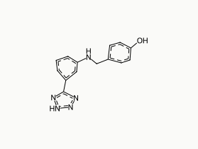 Oc1ccc(CNc2cccc(-c3nn[nH]n3)c2)cc1